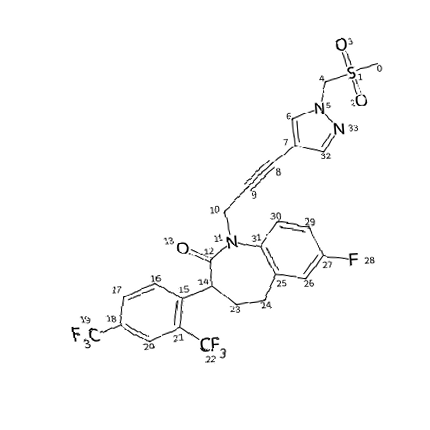 CS(=O)(=O)Cn1cc(C#CCN2C(=O)C(c3ccc(C(F)(F)F)cc3C(F)(F)F)CCc3cc(F)ccc32)cn1